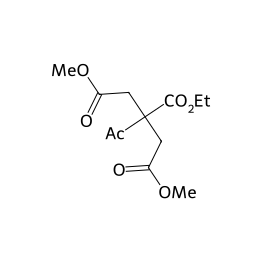 CCOC(=O)C(CC(=O)OC)(CC(=O)OC)C(C)=O